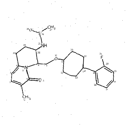 Cc1ccc2n(c1=O)C(COC1CCC(c3ccccc3F)CC1)C(N[S+](C)[O-])CC2